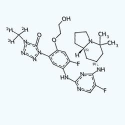 [2H]C([2H])([2H])n1nnn(-c2cc(Nc3ncc(F)c(N[C@@H]4C[C@@H]5CCCN5C(C)(C)C4)n3)c(F)cc2OCCO)c1=O